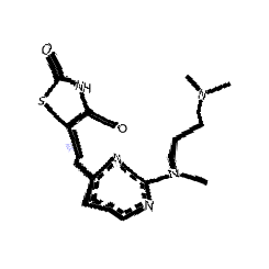 CN(C)CCN(C)c1nccc(/C=C2/SC(=O)NC2=O)n1